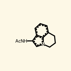 CC(=O)Nc1cn2c3c(cccc13)CCC2